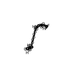 O=C1CCC(N2C(=O)c3cccc(NCCOCCOCCOCCOCCOCCOS(=O)(=O)c4cc5cc(N6CCC(O)(C(=O)NCc7cc(F)cc(F)c7)C6=O)ccc5[nH]4)c3C2=O)C(=O)N1